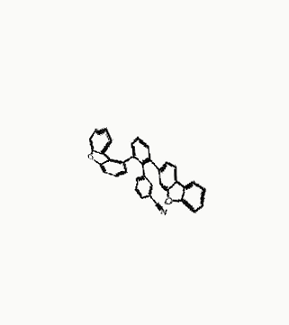 N#Cc1cccc(-c2c(-c3ccc4c(c3)oc3ccccc34)cccc2-c2cccc3oc4ccccc4c23)c1